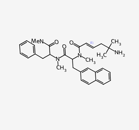 CNC(=O)C(Cc1ccccc1)N(C)C(=O)C(Cc1ccc2ccccc2c1)N(C)C(=O)/C=C/CC(C)(C)N